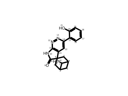 NC1C2CC1CC1(C2)C(=O)Nc2nnc(-c3ccccc3O)cc21